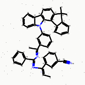 C/C=C(/N=C(\N=C(/C)c1cccc(-n2c3ccccc3c3ccc4c(c32)-c2ccccc2C4(C)C)c1)c1ccccc1)c1cccc(C#N)c1